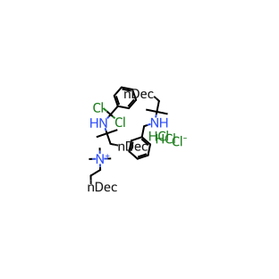 CCCCCCCCCCCC(C)(C)NC(Cl)(Cl)c1ccccc1.CCCCCCCCCCCC(C)(C)NCc1ccccc1.CCCCCCCCCCCC[N+](C)(C)C.Cl.Cl.[Cl-]